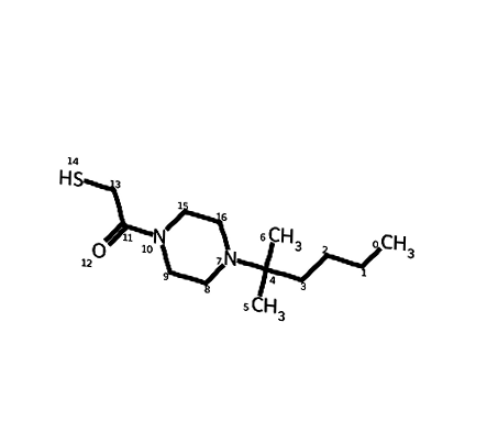 CCCCC(C)(C)N1CCN(C(=O)CS)CC1